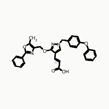 Cc1oc(-c2ccccc2)nc1COc1nn(Cc2ccc(Oc3ccccc3)cc2)cc1/C=C/C(=O)O